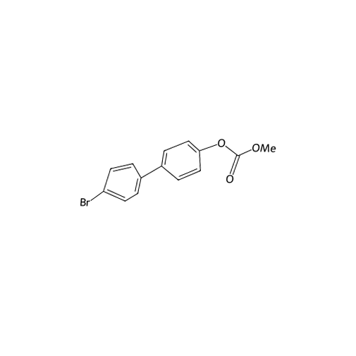 COC(=O)Oc1ccc(-c2ccc(Br)cc2)cc1